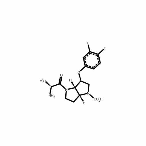 CC(C)(C)[C@H](N)C(=O)N1CC[C@@H]2[C@H]1[C@@H](Oc1ccc(F)c(F)c1)CN2C(=O)O